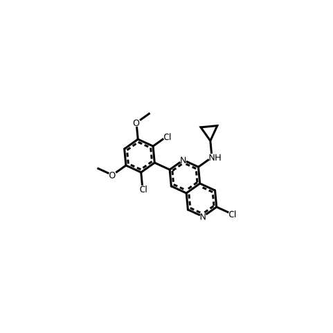 COc1cc(OC)c(Cl)c(-c2cc3cnc(Cl)cc3c(NC3CC3)n2)c1Cl